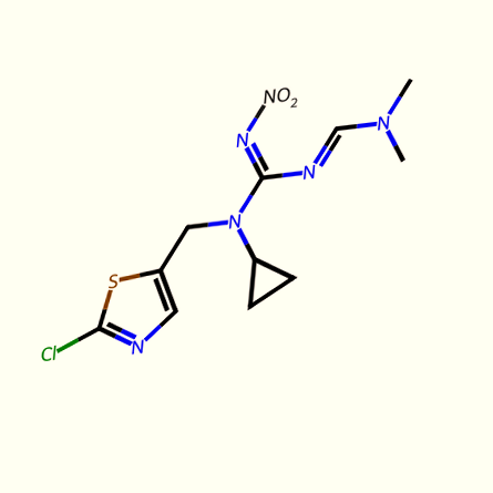 CN(C)C=NC(=N[N+](=O)[O-])N(Cc1cnc(Cl)s1)C1CC1